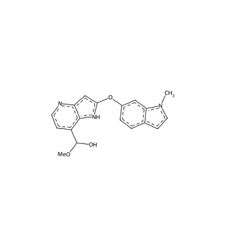 COC(O)c1ccnc2cc(Oc3ccc4ccn(C)c4c3)[nH]c12